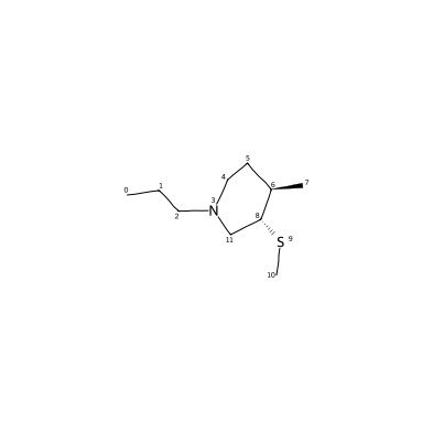 CCCN1CC[C@@H](C)[C@H](SC)C1